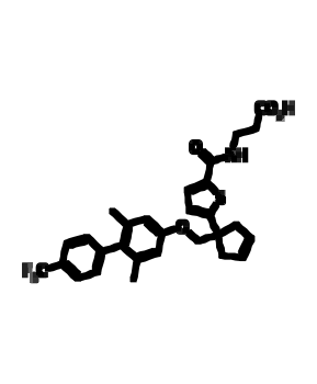 Cc1cc(OCC2(c3ccc(C(=O)NCCC(=O)O)s3)CC=CC2)cc(C)c1-c1ccc(C(F)(F)F)cc1